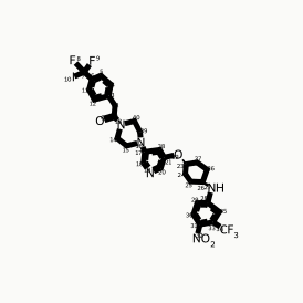 O=C(Cc1ccc(C(F)(F)I)cc1)N1CCN(c2cncc(O[C@H]3CC[C@H](Nc4ccc([N+](=O)[O-])c(C(F)(F)F)c4)CC3)c2)CC1